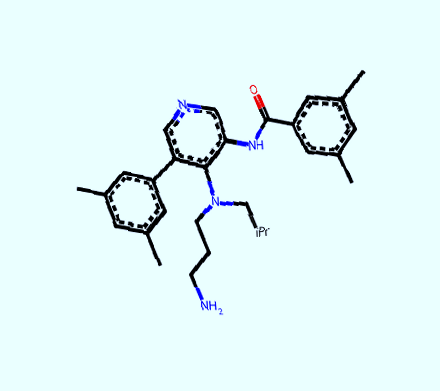 Cc1cc(C)cc(C(=O)Nc2cncc(-c3cc(C)cc(C)c3)c2N(CCCN)CC(C)C)c1